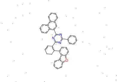 C1=CC(c2nc(-c3ccccc3)nc(-c3cc4ccccc4c4ccccc34)n2)=C(c2cccc3oc4ccccc4c23)CC1